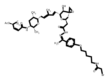 CC(=O)O[C@@H](C)/C=C\C(=O)N[C@@H]1C[C@H](C)[C@H](C/C=C(C)/C=C/[C@H]2O[C@H](CC(=O)NN=C(C)c3ccc(OCCCCCNC(=O)CBr)cc3)C[C@@]3(CO3)[C@@H]2O)O[C@@H]1C